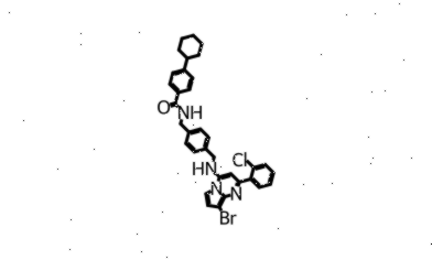 O=C(NCc1ccc(CNc2cc(-c3ccccc3Cl)nc3c(Br)ccn23)cc1)c1ccc(C2CCCCC2)cc1